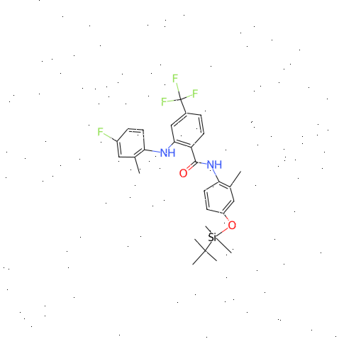 Cc1cc(O[Si](C)(C)C(C)(C)C)ccc1NC(=O)c1ccc(C(F)(F)F)cc1Nc1ccc(F)cc1C